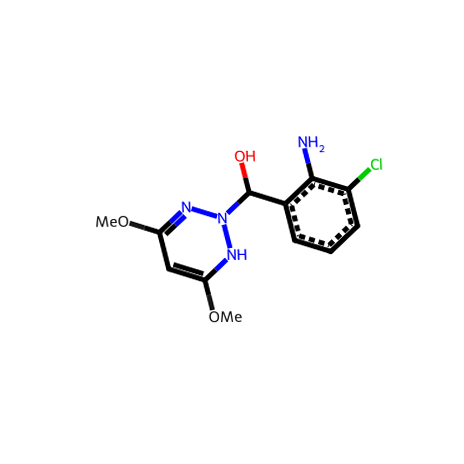 COC1=CC(OC)=NN(C(O)c2cccc(Cl)c2N)N1